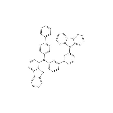 c1ccc(-c2ccc(N(c3cccc(-c4cccc(-n5c6ccccc6c6ccccc65)c4)c3)c3cccc4c3oc3ccccc34)cc2)cc1